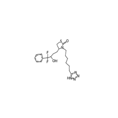 O=C1SCC(CCC(O)C(F)(F)c2ccccc2)N1CCCCCCc1nnn[nH]1